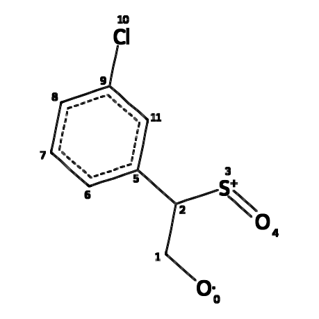 [O]CC([S+]=O)c1cccc(Cl)c1